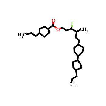 CCCC1CCC(C(=O)OCCC(F)C(C)CCC2CCC(C3CCC(CCC)CC3)CC2)CC1